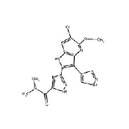 COc1nc2c(-c3cn[nH]c3)c(-c3n[nH]c(C(=O)N(C)C)n3)[nH]c2cc1Cl